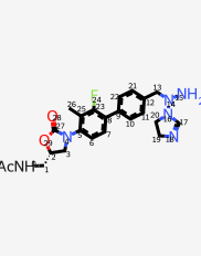 CC(=O)NC[C@H]1CN(c2ccc(-c3ccc(CN(N)N4C=NCC4)cc3)c(F)c2C)C(=O)O1